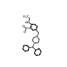 CCNc1ccc(CN2CCN(C(c3ccccc3)c3ccccc3)CC2)cc1[N+](=O)[O-]